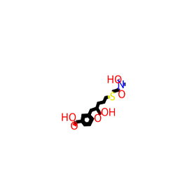 CN(O)C(=O)CSCCCC(Cc1cccc(C(=O)O)c1)C(=O)O